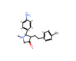 CCc1ccc(CCC2C(=O)CN(C)C2c2ccc(N)cc2)cc1